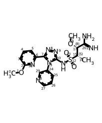 COc1cccc(-c2nnc(NS(=O)(=O)[C@@H](C)[C@H](OC)C(=N)N)n2-c2cccnc2)n1